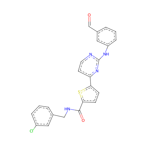 O=Cc1cccc(Nc2nccc(-c3ccc(C(=O)NCc4cccc(Cl)c4)s3)n2)c1